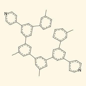 Cc1cccc(-c2cc(-c3ccncc3)cc(-c3cc(C)cc(-c4cc(C)cc(-c5cc(-c6ccncc6)cc(-c6cccc(C)c6)c5)c4)c3)c2)c1